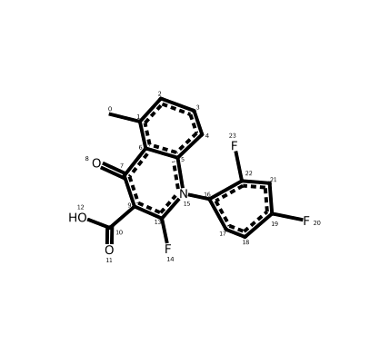 Cc1cccc2c1c(=O)c(C(=O)O)c(F)n2-c1ccc(F)cc1F